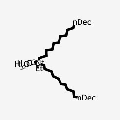 CCCCCCCCCCCCCCCCCCCC[N+]([O-])(CC)CCCCCCCCCCCCCCCCCCCC.O.O